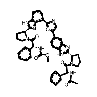 COC(=O)N[C@@H](C(=O)N1CCC[C@H]1c1nc2c(-c3ncc(-c4ccc5[nH]c([C@@H]6CCCN6C(=O)[C@H](NC(C)=O)c6ccccc6)nc5c4)o3)cccc2[nH]1)c1ccccc1